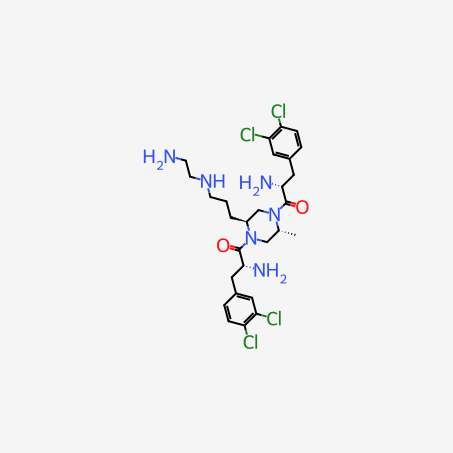 C[C@@H]1CN(C(=O)[C@H](N)Cc2ccc(Cl)c(Cl)c2)[C@@H](CCCNCCN)CN1C(=O)[C@H](N)Cc1ccc(Cl)c(Cl)c1